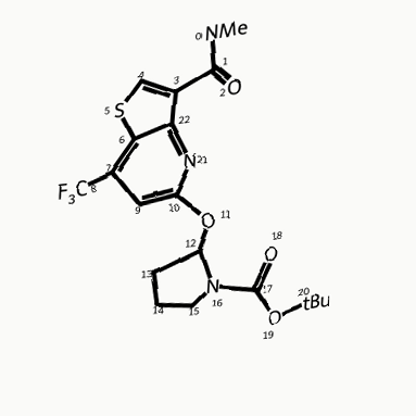 CNC(=O)c1csc2c(C(F)(F)F)cc(OC3CCCN3C(=O)OC(C)(C)C)nc12